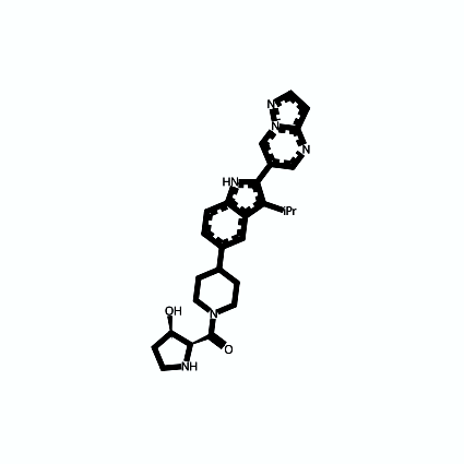 CC(C)c1c(-c2cnc3ccnn3c2)[nH]c2ccc(C3CCN(C(=O)[C@H]4NCC[C@H]4O)CC3)cc12